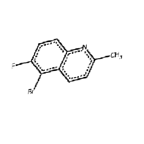 Cc1ccc2c(Br)c(F)ccc2n1